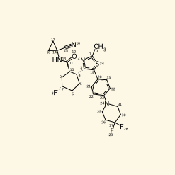 Cc1nc([C@@H]2CC[C@H](F)C[C@H]2C(=O)NC2(C#N)CC2)c(-c2ccc(N3CCC(F)(F)CC3)cc2)s1